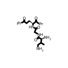 CC(C)C(=O)CC[C@H](NC(=O)CNC(=O)[C@@H](N)C(C)CN)C(=O)C(C)C